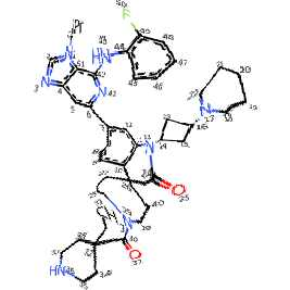 CC(C)n1cnc2cc(-c3ccc4c(c3)N([C@H]3C[C@@H](N5CCCCC5)C3)C(=O)C43CCN(C(=O)C4(C)CCNCC4)CC3)nc(Nc3ccccc3F)c21